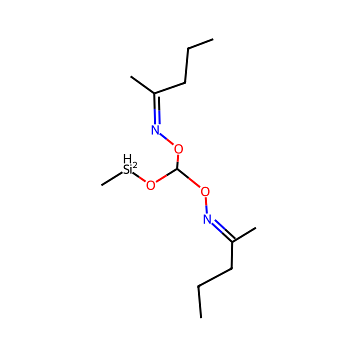 CCCC(C)=NOC(ON=C(C)CCC)O[SiH2]C